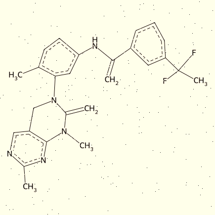 C=C(Nc1ccc(C)c(N2Cc3cnc(C)nc3N(C)C2=C)c1)c1cccc(C(C)(F)F)c1